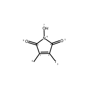 CC1=C(I)C(=O)N(O)C1=O